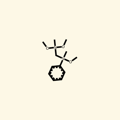 CO[Si](C)(C[Si](C)(OC)c1ccccc1)OC